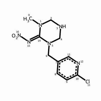 CN1CNCN(Cc2ccc(Cl)nc2)C1=N[N+](=O)[O-]